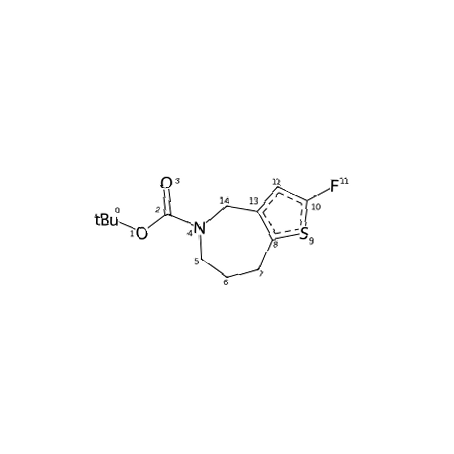 CC(C)(C)OC(=O)N1CCCc2sc(F)cc2C1